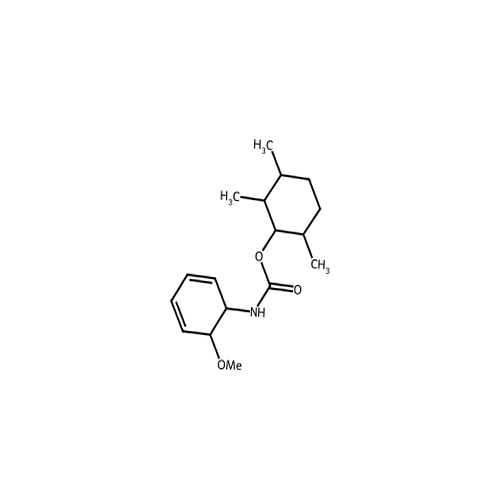 COC1C=CC=CC1NC(=O)OC1C(C)CCC(C)C1C